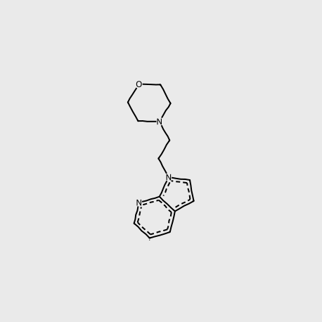 [c]1cnc2c(c1)ccn2CCN1CCOCC1